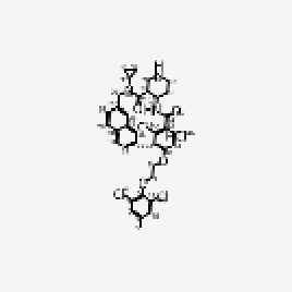 Cc1cc(Cl)c(OCCOc2ccc(C(=O)NC3CCNCC3C(=O)N(Cc3ccc4ccccc4c3)C3CC3)c(Cl)c2)c(Cl)c1.Cl